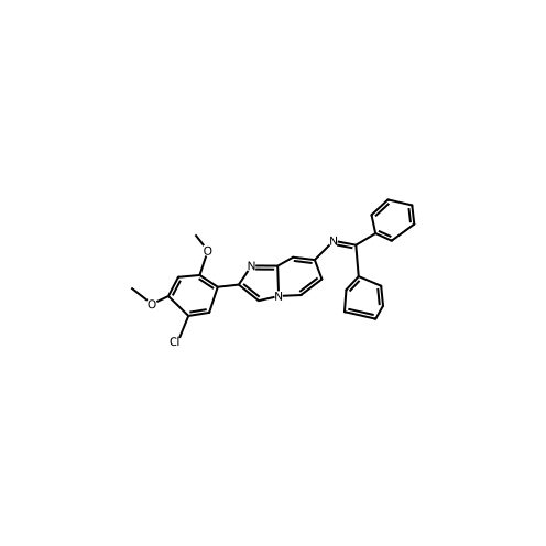 COc1cc(OC)c(-c2cn3ccc(N=C(c4ccccc4)c4ccccc4)cc3n2)cc1Cl